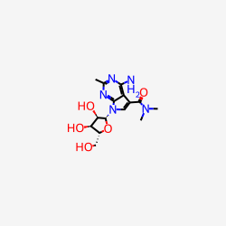 Cc1nc(N)c2c(C(=O)N(C)C)cn([C@@H]3O[C@H](CO)[C@@H](O)[C@H]3O)c2n1